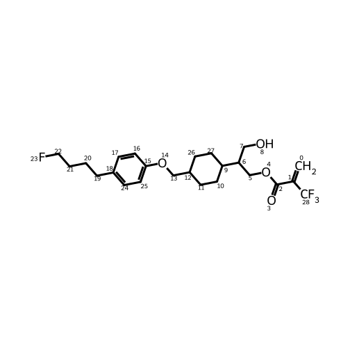 C=C(C(=O)OCC(CO)C1CCC(COc2ccc(CCCCF)cc2)CC1)C(F)(F)F